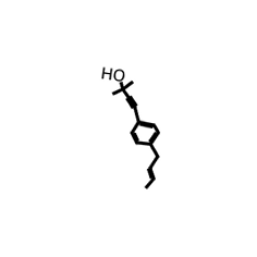 CC=CCc1ccc(C#CC(C)(C)O)cc1